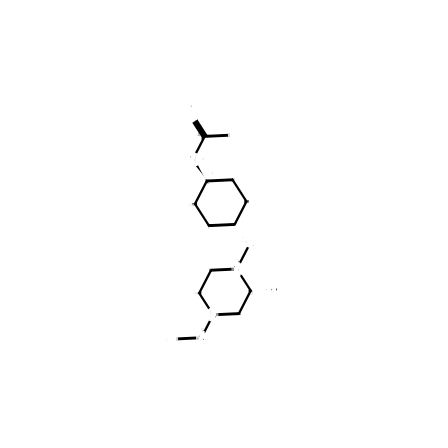 C[C@@H]1CN(NI)CCN1C[C@H]1CC[C@H](NC(=O)I)CC1